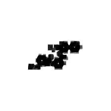 CSc1cccc(C(=O)Nc2cccc(C(C)Oc3cc(-c4cccnc4)cnc3N)c2)c1